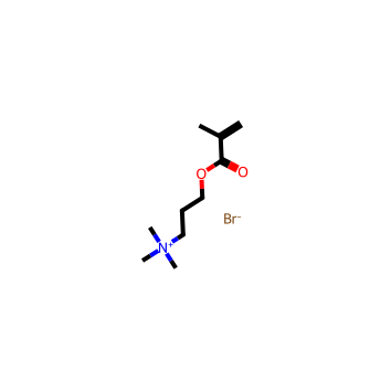 C=C(C)C(=O)OCCC[N+](C)(C)C.[Br-]